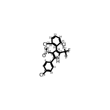 O=[N+]([O-])c1c(-c2ccc(Cl)cc2)[nH]c(C(F)(F)F)c1-c1c(Cl)cccc1Cl